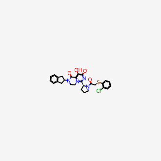 O=C1c2c(O)c(=O)nc([C@@H]3CCCN3C(=O)CSc3ccccc3Cl)n2CCN1C1Cc2ccccc2C1